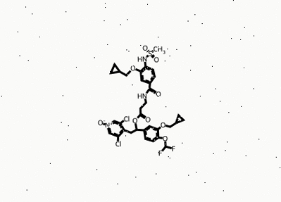 CS(=O)(=O)Nc1ccc(C(=O)NCCC(=O)OC(Cc2c(Cl)c[n+]([O-])cc2Cl)c2ccc(OC(F)F)c(OCC3CC3)c2)cc1OCC1CC1